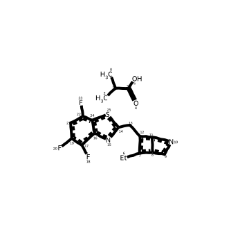 CC(C)C(=O)O.CCc1c2cnc-2c1Cc1nc2c(F)c(F)cc(F)c2s1